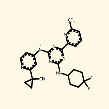 N#CC1(c2cc(Nc3nc(NC4CCC(F)(F)CC4)nc(-c4cccc(C(F)(F)F)n4)n3)ccn2)CC1